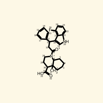 CC12CCCCC1N(C(=O)CC(c1ccccc1)c1c[nH]c3cccc(F)c13)CCC2C(=O)O